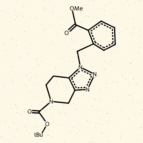 COC(=O)c1ccccc1Cn1nnc2c1CCN(C(=O)OC(C)(C)C)C2